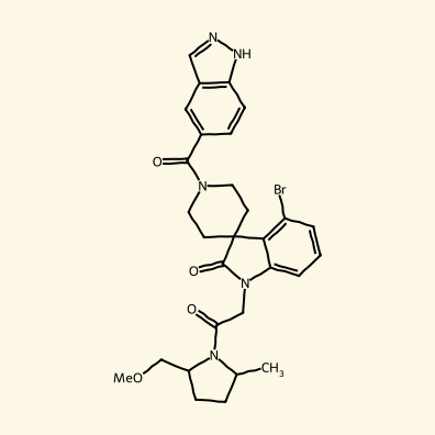 COCC1CCC(C)N1C(=O)CN1C(=O)C2(CCN(C(=O)c3ccc4[nH]ncc4c3)CC2)c2c(Br)cccc21